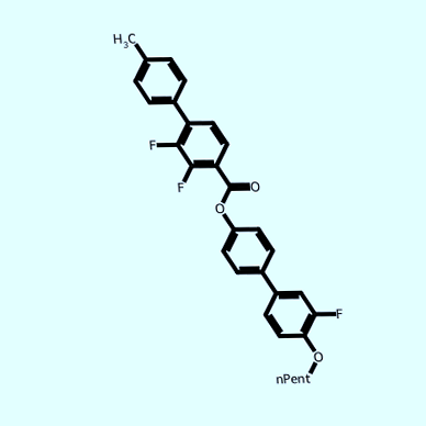 CCCCCOc1ccc(-c2ccc(OC(=O)c3ccc(-c4ccc(C)cc4)c(F)c3F)cc2)cc1F